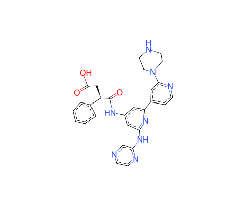 O=C(O)C[C@@H](C(=O)Nc1cc(Nc2cnccn2)nc(-c2ccnc(N3CCNCC3)c2)c1)c1ccccc1